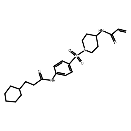 C=CC(=O)NC1CCN(S(=O)(=O)c2ccc(NC(=O)CCC3CCCCC3)cc2)CC1